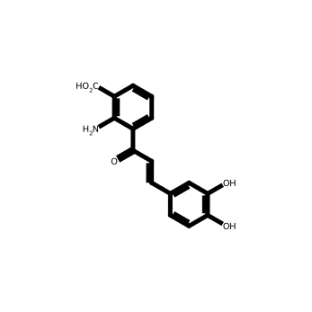 Nc1c(C(=O)O)cccc1C(=O)C=Cc1ccc(O)c(O)c1